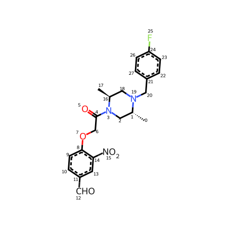 C[C@@H]1CN(C(=O)COc2ccc(C=O)cc2[N+](=O)[O-])[C@@H](C)CN1Cc1ccc(F)cc1